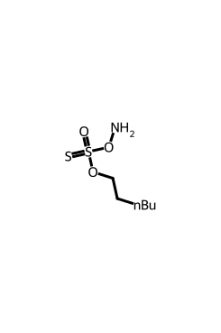 CCCCCCOS(=O)(=S)ON